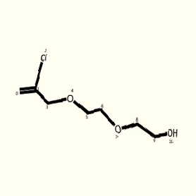 C=C(Cl)COCCOCCO